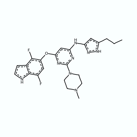 CCCc1cc(Nc2cc(Oc3cc(F)c4[nH]ccc4c3F)nc(N3CCN(C)CC3)n2)n[nH]1